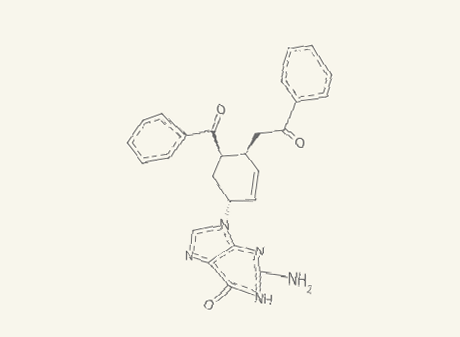 Nc1nc2c(ncn2[C@H]2C=C[C@H](CC(=O)c3ccccc3)[C@H](C(=O)c3ccccc3)C2)c(=O)[nH]1